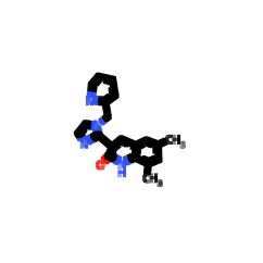 Cc1cc(C)c2[nH]c(=O)c(-c3nccn3Cc3ccccn3)cc2c1